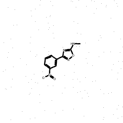 CNc1nc(-c2cccc([N+](=O)[O-])c2)no1